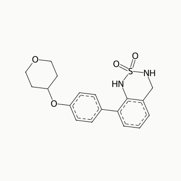 O=S1(=O)NCc2cccc(-c3ccc(OC4CCOCC4)cc3)c2N1